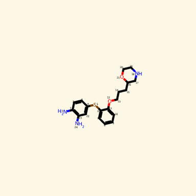 Nc1ccc(Sc2ccccc2OCCCC2CNCCO2)cc1N